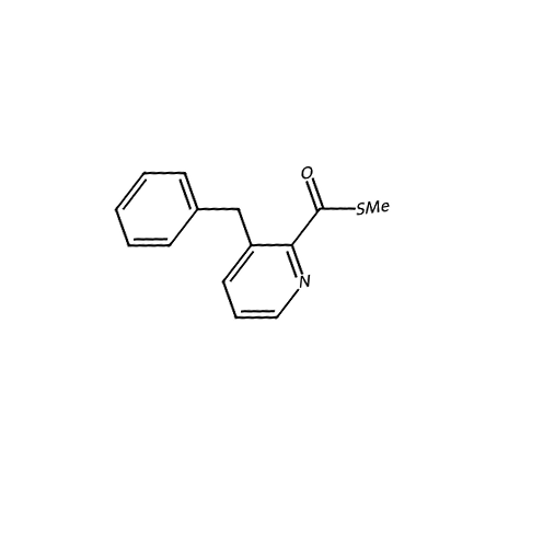 CSC(=O)c1ncccc1Cc1ccccc1